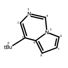 CC(C)(C)c1cncn2cccc12